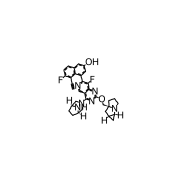 C#Cc1c(F)ccc2cc(O)cc(-c3ncc4c(N5C[C@H]6CC[C@@H](C5)N6)nc(OC[C@@]56CCCN5[C@@H]5C[C@@H]5C6)nc4c3F)c12